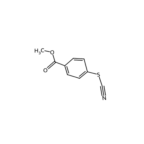 COC(=O)c1ccc(SC#N)cc1